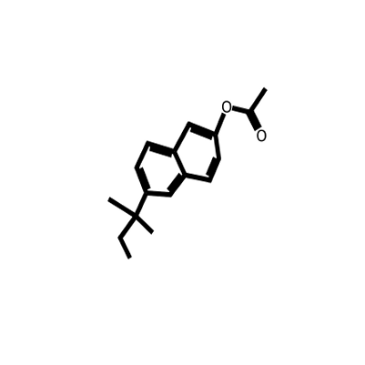 CCC(C)(C)c1ccc2cc(OC(C)=O)ccc2c1